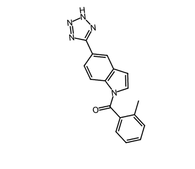 Cc1ccccc1C(=O)n1ccc2cc(-c3nn[nH]n3)ccc21